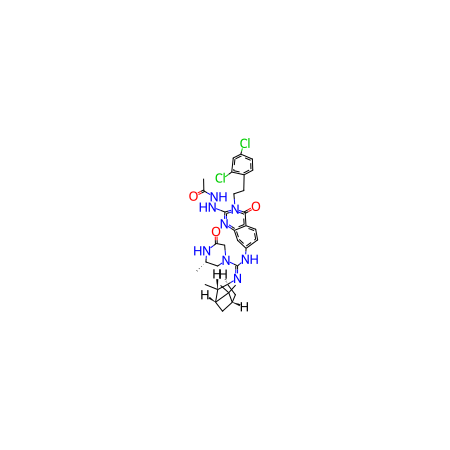 CC(=O)NNc1nc2cc(N/C(=N/[C@H]3C[C@@H]4C[C@H]([C@@H]3C)C4(C)C)N3CC(=O)N[C@@H](C)C3)ccc2c(=O)n1CCc1ccc(Cl)cc1Cl